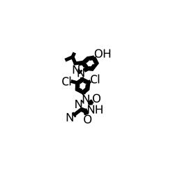 CC(C)c1nn(-c2c(Cl)cc(-n3nc(C#N)c(=O)[nH]c3=O)cc2Cl)c2ccc(O)cc12